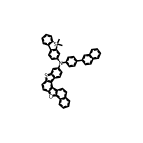 C[Si]1(C)c2ccccc2-c2ccc(N(c3ccc(-c4ccc5ccccc5c4)cc3)c3ccc4c(c3)sc3ccc5oc6c7ccccc7ccc6c5c34)cc21